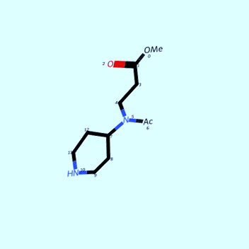 COC(=O)CCN(C(C)=O)C1CCNCC1